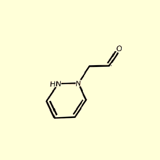 O=[C]CN1C=CC=CN1